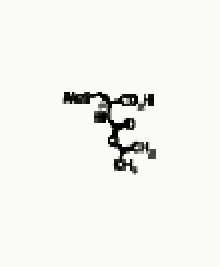 C=C(C)OC(=O)N[C@@H](CSC)C(=O)O